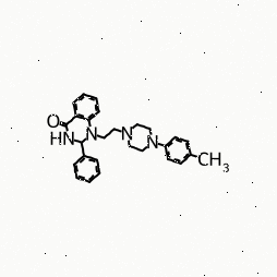 Cc1ccc(N2CCN(CCN3c4ccccc4C(=O)NC3c3ccccc3)CC2)cc1